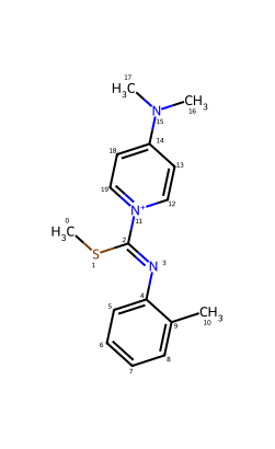 CS/C(=N\c1ccccc1C)[n+]1ccc(N(C)C)cc1